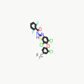 O=C(Nc1nc2cc(Cl)c(Oc3ccc(C(F)(F)F)cc3Cl)c(Cl)c2s1)c1c(F)cccc1F